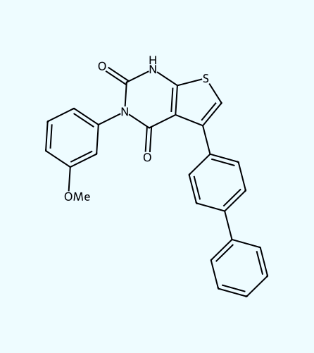 COc1cccc(-n2c(=O)[nH]c3scc(-c4ccc(-c5ccccc5)cc4)c3c2=O)c1